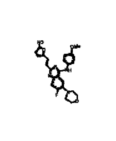 COc1ccc(Nc2nc(/C=C/c3ccc(N=O)o3)nc3cc(F)c(N4CCOCC4)cc23)cc1